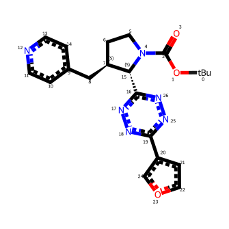 CC(C)(C)OC(=O)N1CC[C@H](Cc2ccncc2)[C@H]1c1nnc(-c2ccoc2)nn1